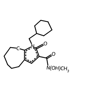 CN(O)C(=O)c1cc2c(n(CC3CCCCC3)c1=O)CCCCCC2